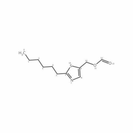 CCCCCCc1ncc(CO[C]=O)s1